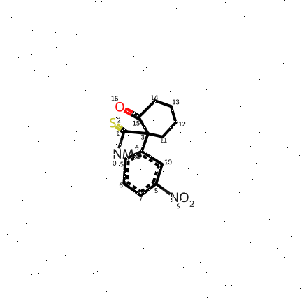 CNC(=S)C1(c2cccc([N+](=O)[O-])c2)CCCCC1=O